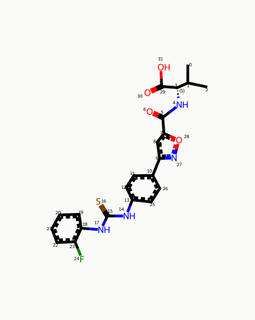 CC(C)[C@H](NC(=O)c1cc(-c2ccc(NC(=S)Nc3ccccc3F)cc2)no1)C(=O)O